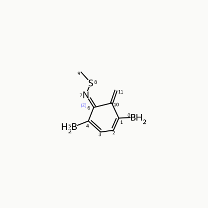 BC1=CC=C(B)/C(=N/SC)C1=C